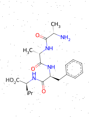 CC(C)[C@H](NC(=O)[C@H](Cc1ccccc1)NC(=O)[C@H](C)NC(=O)[C@H](C)N)C(=O)O